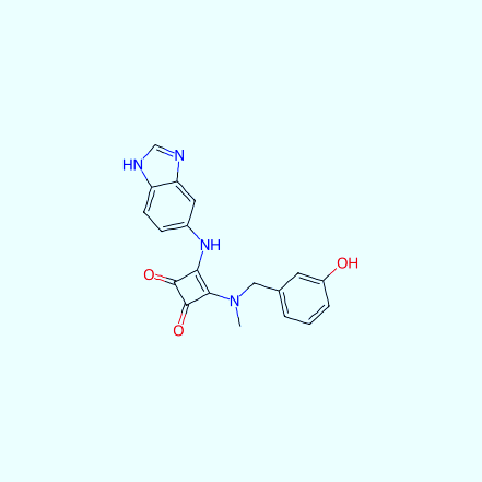 CN(Cc1cccc(O)c1)c1c(Nc2ccc3[nH]cnc3c2)c(=O)c1=O